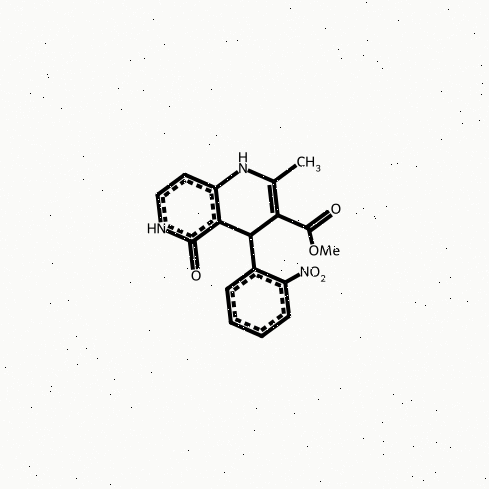 COC(=O)C1=C(C)Nc2cc[nH]c(=O)c2C1c1ccccc1[N+](=O)[O-]